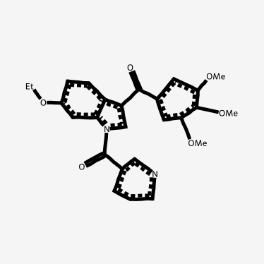 CCOc1ccc2c(C(=O)c3cc(OC)c(OC)c(OC)c3)cn(C(=O)c3cccnc3)c2c1